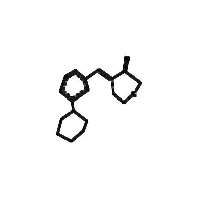 O=C1CCCC/C1=C\c1cccc(C2CCCCC2)c1